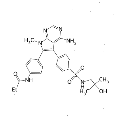 CCC(=O)Nc1ccc(-c2c(-c3ccc(S(=O)(=O)NCC(C)(C)O)cc3)c3c(N)ncnc3n2C)cc1